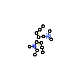 c1ccc(-c2ccc(-c3cccc4c3sc3c(-c5ccc(-c6nc(-c7ccccc7)nc(-c7ccccc7)n6)cc5)cccc34)cc2)cc1.c1ccc(-c2ccc(-c3cccc4c3sc3c(-c5nc(-c6ccccc6)nc(-c6cccc(-c7ccccc7)c6)n5)cccc34)cc2)cc1